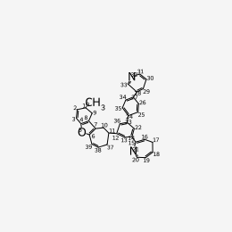 CC1C=Cc2oc3c(c2C1)CC(c1cc(C2=CCC=CC=N2)cc(-c2ccc(-c4cccnc4)cc2)c1)CC=C3